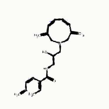 C=C/C=C\C(=C/C)C(=O)NCC(O)CN1CC(=C)/C=C\C=C/C(=C)C1